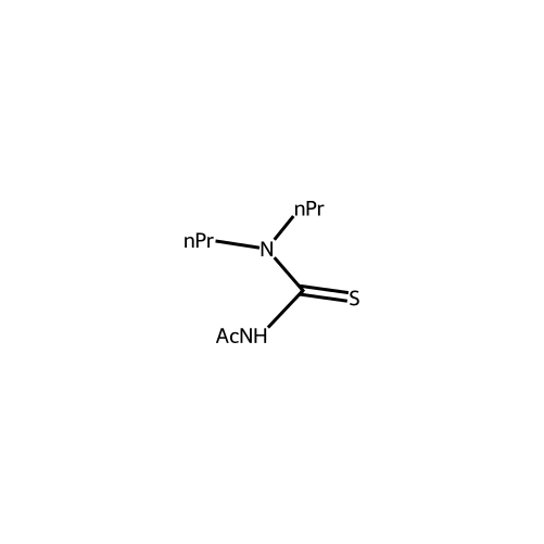 CCCN(CCC)C(=S)NC(C)=O